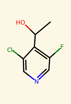 CC(O)c1c(F)cncc1Cl